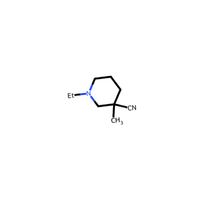 CCN1CCCC(C)(C#N)C1